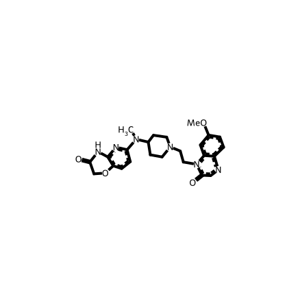 COc1ccc2ncc(=O)n(CCN3CCC(N(C)c4ccc5c(n4)NC(=O)CO5)CC3)c2c1